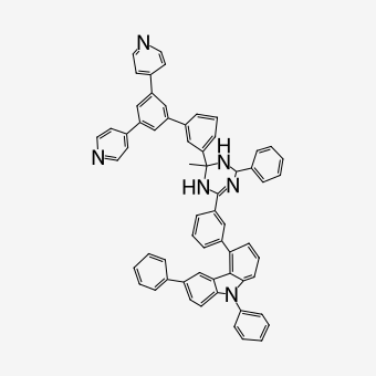 CC1(c2cccc(-c3cc(-c4ccncc4)cc(-c4ccncc4)c3)c2)NC(c2cccc(-c3cccc4c3c3cc(-c5ccccc5)ccc3n4-c3ccccc3)c2)=NC(c2ccccc2)N1